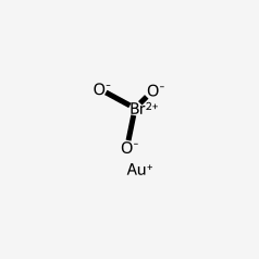 [Au+].[O-][Br+2]([O-])[O-]